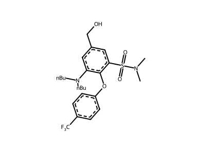 CCCCN(CCCC)c1cc(CO)cc(S(=O)(=O)N(C)C)c1Oc1ccc(C(F)(F)F)cc1